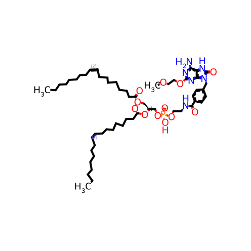 CCCCCCCC/C=C\CCCCCCCC(=O)OC[C@@H](COP(=O)(O)OCCNC(=O)c1ccc(Cn2c(=O)[nH]c3c(N)nc(OCCOC)nc32)cc1)OC(=O)CCCCCCC/C=C\CCCCCCCC